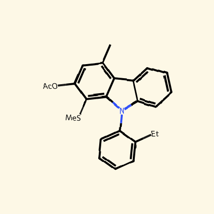 CCc1ccccc1-n1c2ccccc2c2c(C)cc(OC(C)=O)c(SC)c21